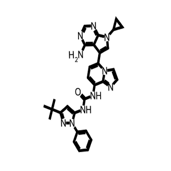 CC(C)(C)c1cc(NC(=O)Nc2ccc(-c3cn(C4CC4)c4ncnc(N)c34)n3ccnc23)n(-c2ccccc2)n1